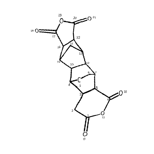 O=C1CC2C3CCC(C2C(=O)O1)C1C2CC(C4C(=O)OC(=O)C24)C31